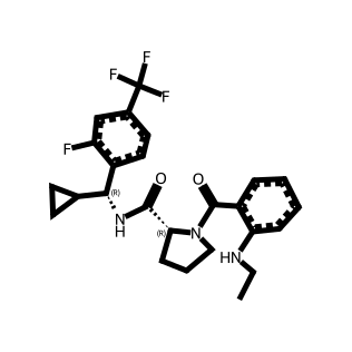 CCNc1ccccc1C(=O)N1CCC[C@@H]1C(=O)N[C@@H](c1ccc(C(F)(F)F)cc1F)C1CC1